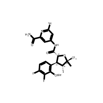 [2H]c1cc(NC(=O)[C@@H]2O[C@@](C)(C(F)(F)F)[C@H](C)[C@H]2c2ccc(F)c(F)c2OC)cc(C(N)=O)n1